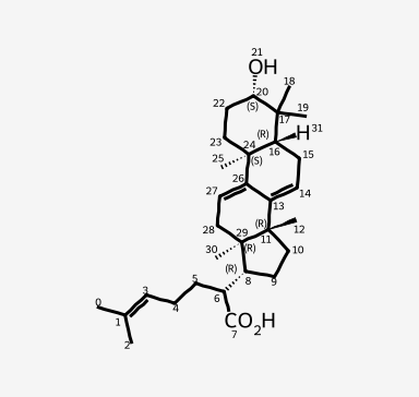 CC(C)=CCCC(C(=O)O)[C@H]1CC[C@@]2(C)C3=CC[C@H]4C(C)(C)[C@@H](O)CC[C@]4(C)C3=CC[C@]12C